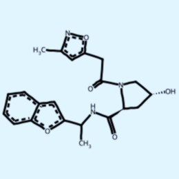 Cc1cc(CC(=O)N2C[C@H](O)C[C@H]2C(=O)NC(C)c2cc3ccccc3o2)on1